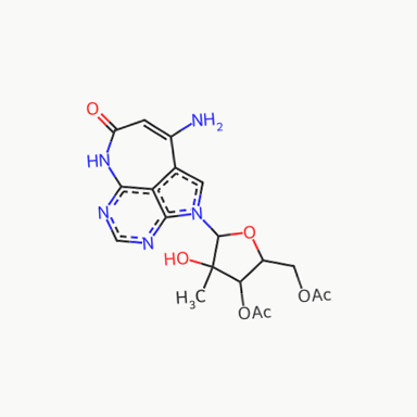 CC(=O)OCC1OC(n2cc3c4c(ncnc42)NC(=O)C=C3N)C(C)(O)C1OC(C)=O